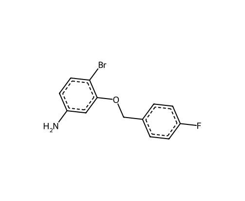 Nc1ccc(Br)c(OCc2ccc(F)cc2)c1